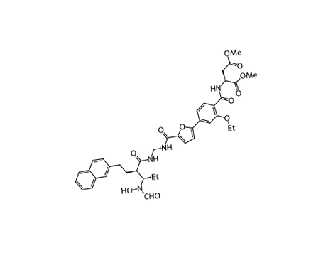 CCOc1cc(-c2ccc(C(=O)NCNC(=O)[C@H](CCc3ccc4ccccc4c3)[C@@H](CC)N(O)C=O)o2)ccc1C(=O)N[C@@H](CC(=O)OC)C(=O)OC